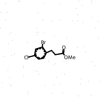 COC(=O)CCc1ccc(Cl)cc1Br